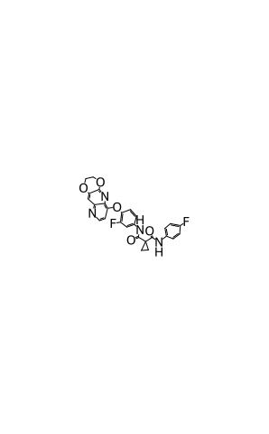 O=C(Nc1ccc(F)cc1)C1(C(=O)Nc2ccc(Oc3ccnc4cc5c(nc34)OCCO5)c(F)c2)CC1